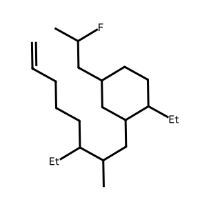 C=CCCCC(CC)C(C)CC1CC(CC(C)F)CCC1CC